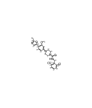 COc1cc(N2CCN(C(=O)NCc3c(Cl)cccc3Cl)CC2)ccc1-c1cnc(C)o1